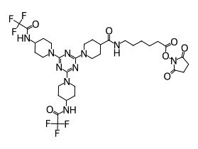 O=C(CCCCCNC(=O)C1CCN(c2nc(N3CCC(NC(=O)C(F)(F)F)CC3)nc(N3CCC(NC(=O)C(F)(F)F)CC3)n2)CC1)ON1C(=O)CCC1=O